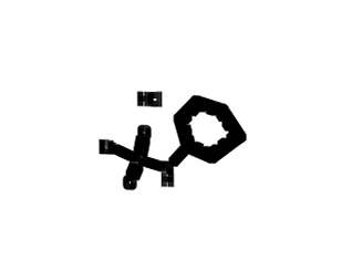 CCS(=O)(=O)Nc1ccccc1.Cl